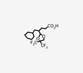 O=C(O)CCC(CC1CCCCC1)C1OCC(C(F)(F)F)(C(F)(F)F)O1